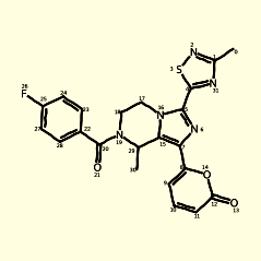 Cc1nsc(-c2nc(-c3cccc(=O)o3)c3n2CCN(C(=O)c2ccc(F)cc2)C3C)n1